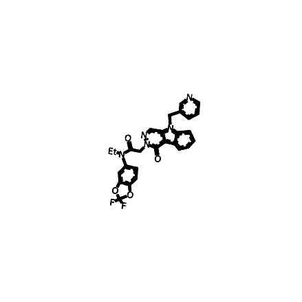 CCN(C(=O)Cn1ncc2c(c1=O)c1ccccc1n2Cc1cccnc1)c1ccc2c(c1)OC(F)(F)O2